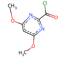 COc1cc(OC)nc(C(=O)Cl)n1